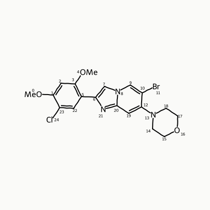 COc1cc(OC)c(-c2cn3cc(Br)c(N4CCOCC4)cc3n2)cc1Cl